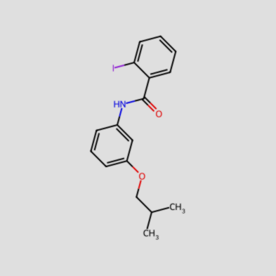 CC(C)COc1cccc(NC(=O)c2ccccc2I)c1